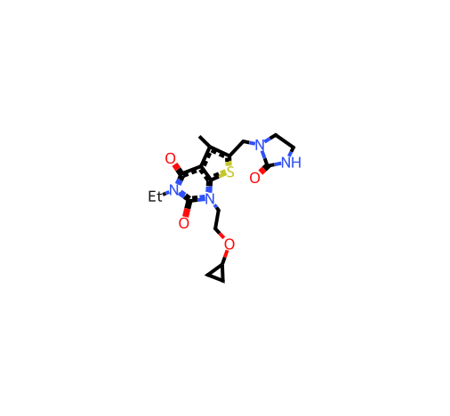 CCn1c(=O)c2c(C)c(CN3CCNC3=O)sc2n(CCOC2CC2)c1=O